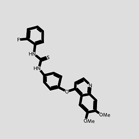 COc1cc2nccc(Oc3ccc(NC(=S)Nc4ccccc4F)cc3)c2cc1OC